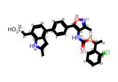 Cc1cc2c(-c3ccc(-c4onc(C)c4NC(=O)OC(C)c4ccccc4Cl)cc3)ccc(CC(=O)O)c2[nH]1